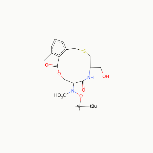 Cc1cccc2c1C(=O)OCC(N(O[Si](C)(C)C(C)(C)C)C(=O)O)C(=O)NC(CO)CSC2